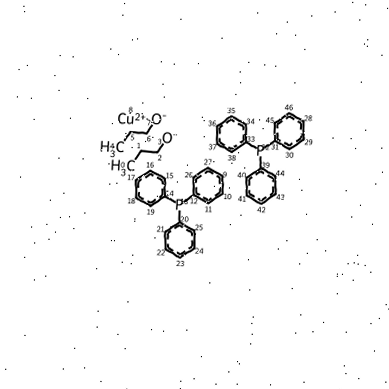 CCC[O-].CCC[O-].[Cu+2].c1ccc(P(c2ccccc2)c2ccccc2)cc1.c1ccc(P(c2ccccc2)c2ccccc2)cc1